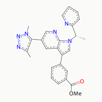 COC(=O)c1cccc(-c2cn([C@@H](C)c3ccccn3)c3ncc(-c4c(C)nnn4C)cc23)c1